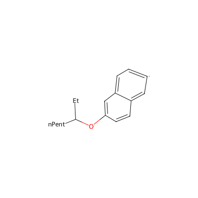 CCCCCC(CC)Oc1ccc2c[c]ccc2c1